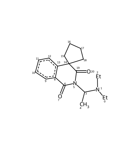 CCN(CC)C(C)N1C(=O)c2ccccc2C2(CCCC2)C1=O